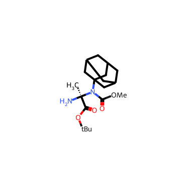 COC(=O)N(C12CC3CC(CC(C3)C1)C2)[C@](C)(N)C(=O)OC(C)(C)C